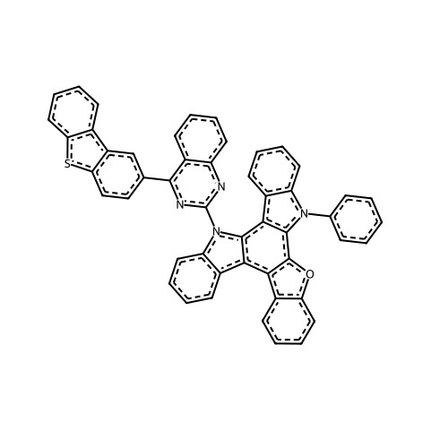 c1ccc(-n2c3ccccc3c3c2c2oc4ccccc4c2c2c4ccccc4n(-c4nc(-c5ccc6sc7ccccc7c6c5)c5ccccc5n4)c23)cc1